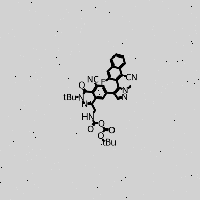 Cn1ncc(-c2cc(C#N)c3c(=O)n(C(C)(C)C)nc(CNC(=O)OC(=O)OC(C)(C)C)c3c2)c1-c1c(F)cc2ccccc2c1C#N